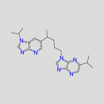 CC(C)c1cnc2ncn(CCCC(C)c3cnc4ncn(C(C)C)c4c3)c2n1